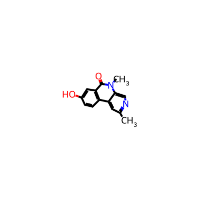 Cc1cc2c3ccc(O)cc3c(=O)n(C)c2cn1